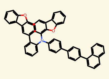 c1ccc(N(c2ccc(-c3ccc(-c4cccc5ccccc45)cc3)cc2)c2cccc3c2oc2ccccc23)c(-c2ccc3oc4ccccc4c3c2)c1